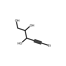 CCC#CC(O)C(O)CO